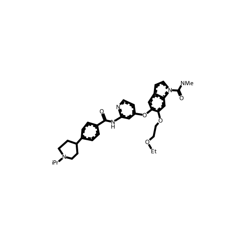 CCOCCOc1cc2c(ccn2C(=O)NC)cc1Oc1ccnc(NC(=O)c2ccc(C3CCN(C(C)C)CC3)cc2)c1